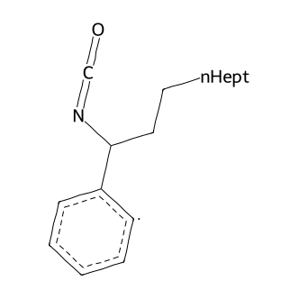 CCCCCCCCCC(N=C=O)c1[c]cccc1